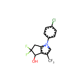 OC1c2c(C(F)(F)F)cn(-c3ccc(Cl)cc3)c2CC1(F)F